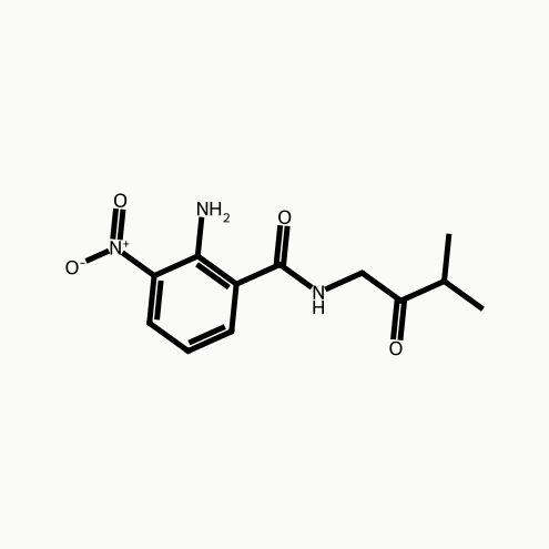 CC(C)C(=O)CNC(=O)c1cccc([N+](=O)[O-])c1N